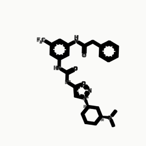 CN(C)[C@H]1CCC[C@@H]([n+]2cc([N-]C(=O)Nc3cc(NC(=O)Cc4ccccc4)cc(C(F)(F)F)c3)on2)C1